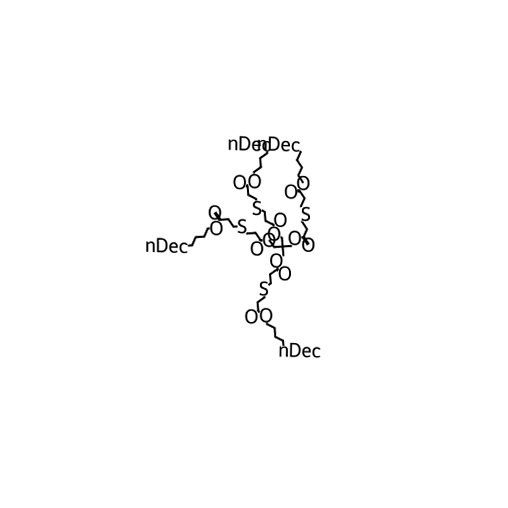 CCCCCCCCCCCCCCOC(=O)CCSCCC(=O)OCC(COC(=O)CCSCCC(=O)OCCCCCCCCCCCCCC)(COC(=O)CCSCCC(=O)OCCCCCCCCCCCCCC)COC(=O)CCSCCC(=O)OCCCCCCCCCCCCCC